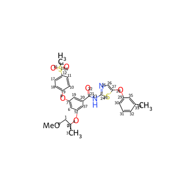 COC[C@H](C)Oc1cc(Oc2ccc(S(C)(=O)=O)cc2)cc(C(=O)Nc2ncc(Oc3cccc(C)c3)s2)c1